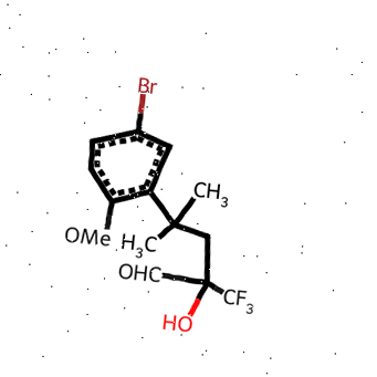 COc1ccc(Br)cc1C(C)(C)CC(O)(C=O)C(F)(F)F